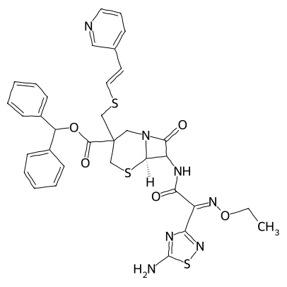 CCON=C(C(=O)NC1C(=O)N2CC(CSC=Cc3cccnc3)(C(=O)OC(c3ccccc3)c3ccccc3)CS[C@H]12)c1nsc(N)n1